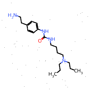 CCCN(CCC)CCCCNC(=O)Nc1ccc(CCN)cc1